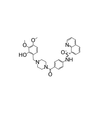 COc1ccc(CN2CCN(C(=O)c3ccc(N[S+]([O-])c4cccc5cccnc45)cc3)CC2)c(O)c1OC